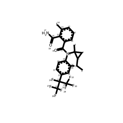 CCC1CC1(C)N(C(=O)c1cccc(I)c1C(N)=O)c1ccc(C(F)(C(F)(F)F)C(F)(F)F)cc1C